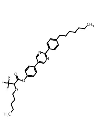 CCCCCCCc1ccc(-c2ncc(-c3ccc(OC(=O)C(OCCCCC)C(F)(F)F)cc3)cn2)cc1